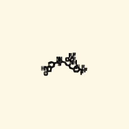 O=C1Cc2cc(-c3nnc(CCC(Cc4ccc(C(F)(F)F)nc4)NC(=O)C(F)(F)F)s3)ccc2N1